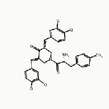 Cc1ccc(C[C@@H](N)C(=O)N2C/C(=C\c3ccc(Cl)c(Cl)c3)C(=O)/C(=C/c3ccc(Cl)c(Cl)c3)C2)cc1